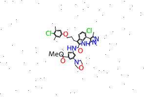 COC(=O)c1cc(NC(=O)c2[nH]c3c(-c4c(C)nn(C)c4C)c(Cl)ccc3c2CCCOc2cc(C)c(Cl)c(C)c2)cc(N2CCOCC2)c1